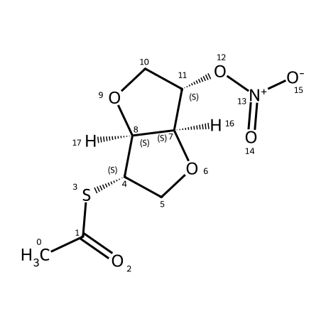 CC(=O)S[C@H]1CO[C@H]2[C@@H]1OC[C@@H]2O[N+](=O)[O-]